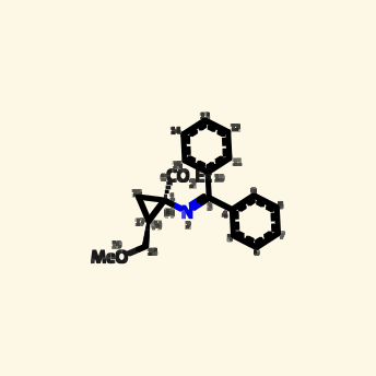 CCOC(=O)[C@@]1(N=C(c2ccccc2)c2ccccc2)C[C@@H]1COC